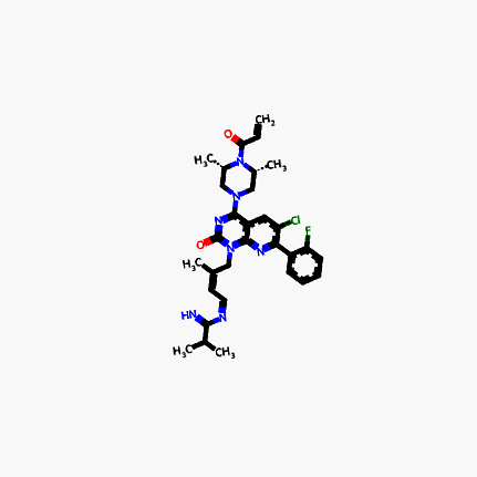 C=CC(=O)N1[C@H](C)CN(c2nc(=O)n(C/C(C)=C\C=N/C(=N)C(C)C)c3nc(-c4ccccc4F)c(Cl)cc23)C[C@@H]1C